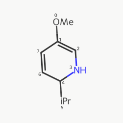 COC1=CNC(C(C)C)C=C1